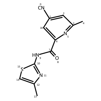 [C-]#[N+]c1cc(C)nc(C(=O)Nc2nc(C)cs2)c1